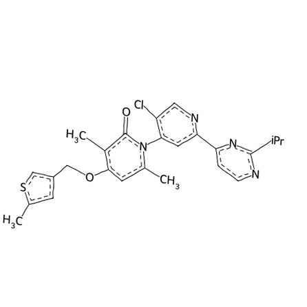 Cc1cc(COc2cc(C)n(-c3cc(-c4ccnc(C(C)C)n4)ncc3Cl)c(=O)c2C)cs1